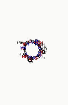 CC(C)C[C@H]1C(=O)N(C)[C@@H](CC(C)C)C(=O)N[C@@H]([C@@H](C)O)C(=O)N(C)[C@@H](Cc2ccccc2)C(=O)NC(=O)N(C)[C@@H](C(C)C)C(=O)N[C@@H](Cc2ccccc2)C(=O)N[C@@](C)(O)C(=O)N(C)CCC(=O)N[C@@H](COC(C)(C)C)C(=O)N1C